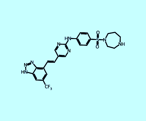 O=S(=O)(c1ccc(Nc2ncc(C=Cc3cc(C(F)(F)F)cc4[nH]nnc34)cn2)cc1)N1CCCNCC1